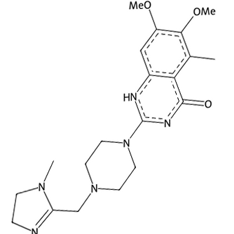 COc1cc2[nH]c(N3CCN(CC4=NCCN4C)CC3)nc(=O)c2c(C)c1OC